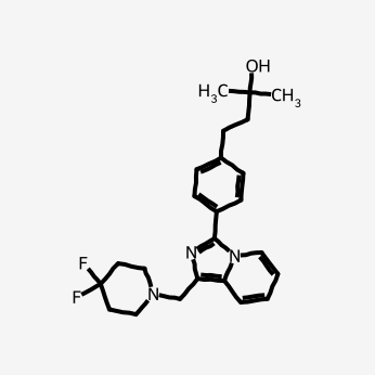 CC(C)(O)CCc1ccc(-c2nc(CN3CCC(F)(F)CC3)c3ccccn23)cc1